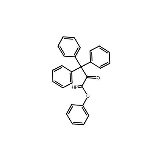 O=C(C(=P)Oc1ccccc1)C(c1ccccc1)(c1ccccc1)c1ccccc1